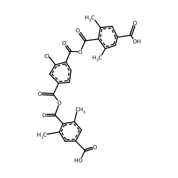 Cc1cc(C(=O)O)cc(C)c1C(=O)OC(=O)c1ccc(C(=O)OC(=O)c2c(C)cc(C(=O)O)cc2C)c(Cl)c1